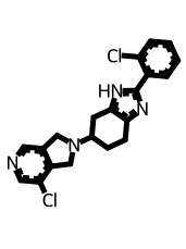 Clc1ccccc1-c1nc2c([nH]1)CC(N1Cc3cncc(Cl)c3C1)CC2